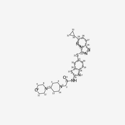 O=C(CN1CCC(N2CCOCC2)CC1)Nc1nc2ccc(Sc3nnc4ccc(C5CC5)nn34)cc2s1